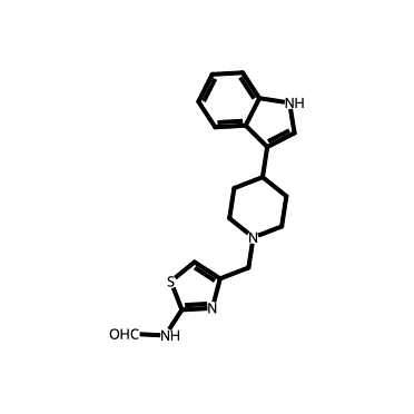 O=CNc1nc(CN2CCC(c3c[nH]c4ccccc34)CC2)cs1